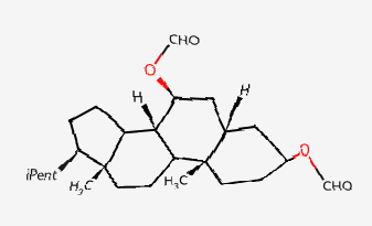 CCCC(C)[C@H]1CCC2[C@H]3C(CC[C@@]21C)[C@@]1(C)CCC(OC=O)C[C@H]1C[C@@H]3OC=O